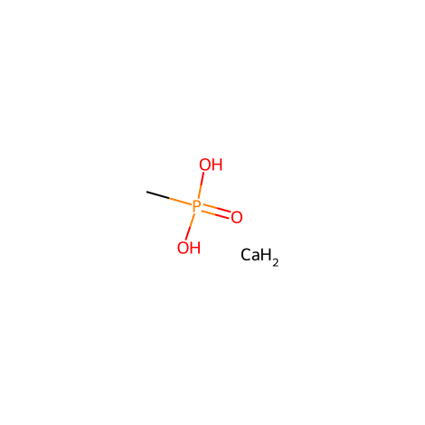 CP(=O)(O)O.[CaH2]